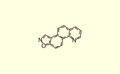 c1cnc2c(c1)ccc1c3cnoc3ccc12